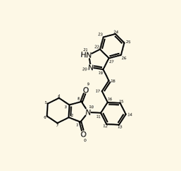 O=C1C2=C(CCCC2)C(=O)N1c1ccccc1/C=C/c1n[nH]c2ccccc12